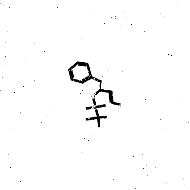 CC(C)(C)[Si](C)(C)O[C@H](/C=C/I)Cc1ccccc1